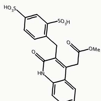 COC(=O)Cc1c(Cc2ccc(S(=O)(=O)O)cc2S(=O)(=O)O)c(=O)[nH]c2ccccc12